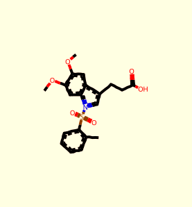 COc1cc2c(CCC(=O)O)cn(S(=O)(=O)c3ccccc3C)c2cc1OC